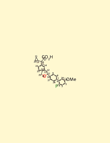 COc1ccc(F)c(-c2ccc(C3Cc4cc(C(CC(=O)O)C5CC5)ccc4CO3)cc2)c1